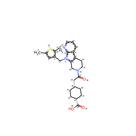 Cc1cc(Cn2c3c(c4cccnc42)CCN(C(=O)C[C@H]2CC[C@@H](C(=O)O)CC2)C3)c(C)s1